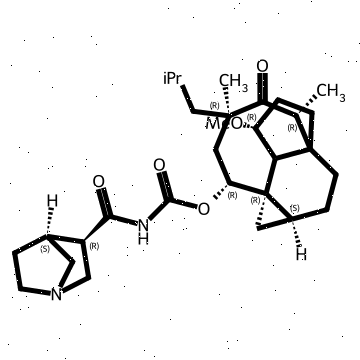 CO[C@@H]1CCC23CC[C@H]4C[C@@]4(C12)[C@H](OC(=O)NC(=O)[C@H]1CN2CC[C@@H]1C2)C[C@@](C)(CC(C)C)C(=O)[C@@H]3C